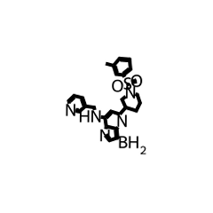 BC1=C2N=C(C3CCCN(S(=O)(=O)c4cccc(C)c4)C3)C=C(NCc3cccnc3)C2N=C1